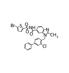 Cc1nc2ccc(C(=O)NS(=O)(=O)c3ccc(Br)s3)cc2n1Cc1ccc(-c2ccccc2)cc1Cl